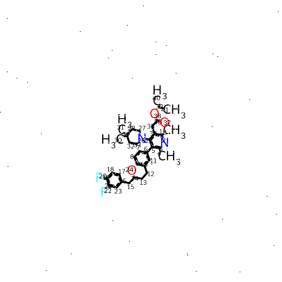 Cc1nc(C)c(-c2ccc3c(c2)CCC(Cc2ccc(F)c(F)c2)O3)c(N2CCC(C)(C)CC2)c1CC(=O)OC(C)C